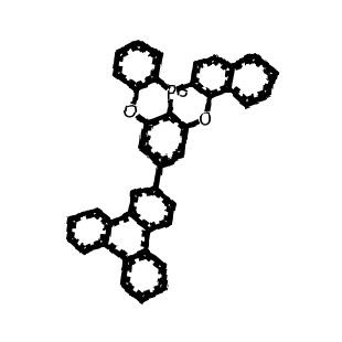 S=P12c3ccccc3Oc3cc(-c4ccc5c6ccccc6c6ccccc6c5c4)cc(c31)Oc1c2ccc2ccccc12